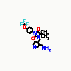 CC1(C)C(=O)N(c2ccc(OC(F)(F)F)cc2)C(=O)N1Cc1ccncc1CN